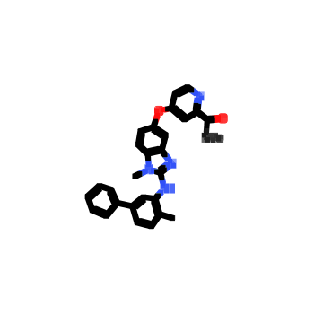 CNC(=O)c1cc(Oc2ccc3c(c2)nc(Nc2cc(-c4ccccc4)ccc2C)n3C)ccn1